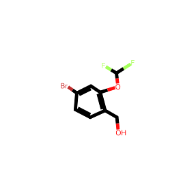 OCc1ccc(Br)cc1OC(F)F